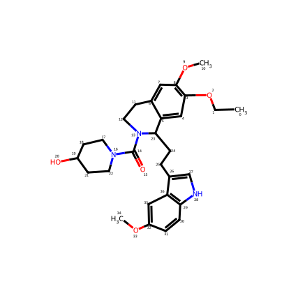 CCOc1cc2c(cc1OC)CCN(C(=O)N1CCC(O)CC1)C2CCc1c[nH]c2ccc(OC)cc12